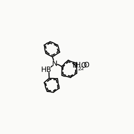 B(c1ccccc1)N(c1ccccc1)c1ccccc1.O.O